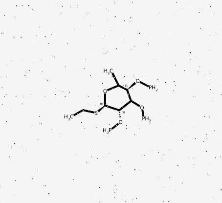 CCS[C@H]1OC(C)[C@@H](OP)C(OP)[C@@H]1OP